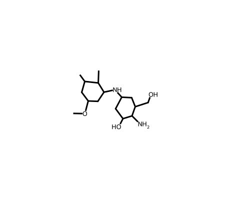 COC1CC(C)C(C)C(NC2CC(O)C(N)C(CO)C2)C1